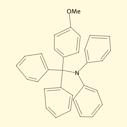 COc1ccc(C(c2ccccc2)(c2ccccc2)N(c2ccccc2)c2ccccc2)cc1